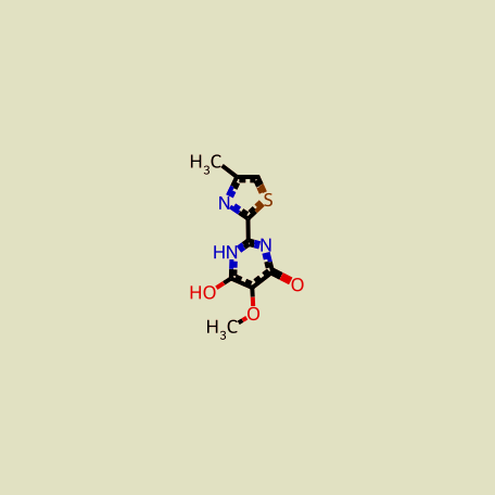 COc1c(O)[nH]c(-c2nc(C)cs2)nc1=O